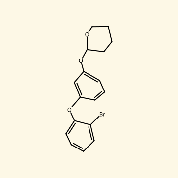 Brc1ccccc1Oc1cccc(OC2CCCCO2)c1